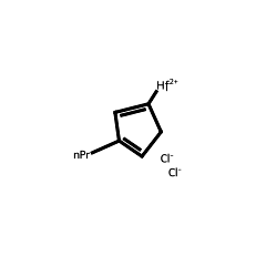 CCCC1=CC[C]([Hf+2])=C1.[Cl-].[Cl-]